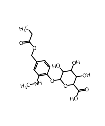 CCC(=O)OCc1ccc(OC2OC(C(=O)O)C(O)C(O)C2O)c(NC)c1